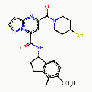 Cc1c(C(=O)O)ccc2c1CC[C@@H]2NC(=O)c1cc(C(=O)N2CCC(S)CC2)nc2ccnn12